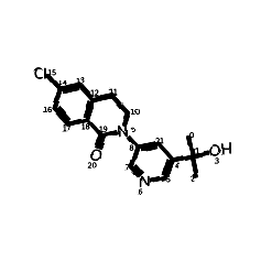 CC(C)(O)c1cncc(N2CCc3cc(Cl)ccc3C2=O)c1